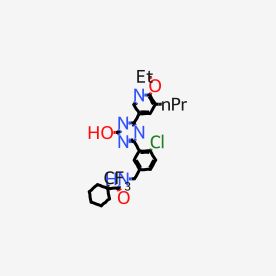 CCCc1cc(-c2nc(O)nc(-c3cc(CNC(=O)C4(C(F)(F)F)CCCCC4)ccc3Cl)n2)cnc1OCC